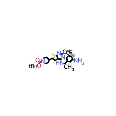 Cc1nc(NC(C)c2cc(N)cc(C(F)(F)F)c2)c2cc(C3=CCN(C(=O)OC(C)(C)C)CC3)sc2n1